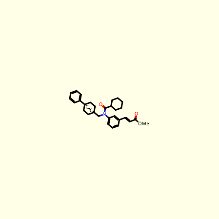 COC(=O)/C=C/c1cccc(N(CC23CCC(c4ccccc4)(CC2)CC3)C(=O)C2CCCCC2)c1